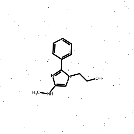 CNc1cn(CCO)c(-c2ccccc2)n1